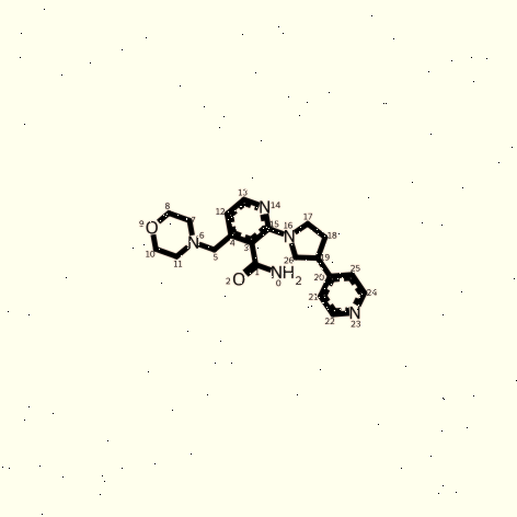 NC(=O)c1c(CN2CCOCC2)ccnc1N1CCC(c2ccncc2)C1